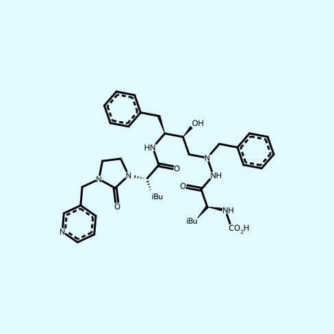 CC[C@H](C)[C@H](NC(=O)O)C(=O)NN(Cc1ccccc1)C[C@H](O)[C@H](Cc1ccccc1)NC(=O)[C@H]([C@@H](C)CC)N1CCN(Cc2cccnc2)C1=O